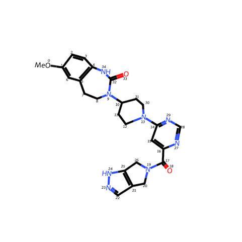 COc1ccc2c(c1)CCN(C1CCN(c3cc(C(=O)N4Cc5cn[nH]c5C4)ncn3)CC1)C(=O)N2